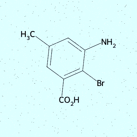 Cc1cc(N)c(Br)c(C(=O)O)c1